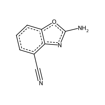 N#Cc1cccc2oc(N)nc12